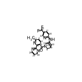 Cc1ccc(C(=O)N2CC3CCC2C(Nc2ccc(C(F)F)cn2)C3)c(-c2ncccn2)n1